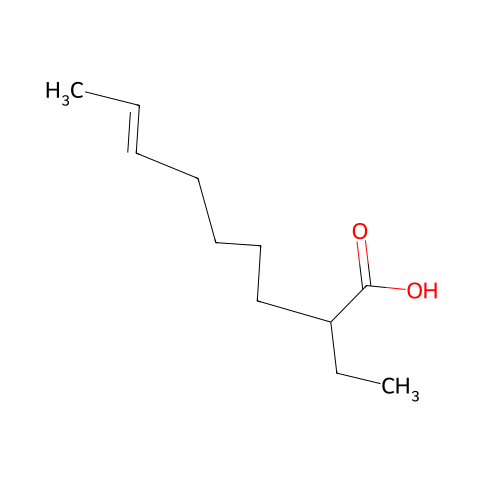 CC=CCCCCC(CC)C(=O)O